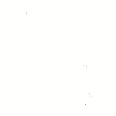 Cc1cc(Oc2cccc(-c3ccnnc3)c2C#N)c(Cl)cc1C(=O)O